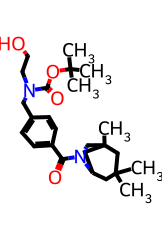 CC1(C)CC2CC(C)(CN2C(=O)c2ccc(CN(CCO)C(=O)OC(C)(C)C)cc2)C1